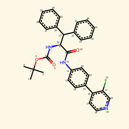 CC(C)(C)OC(=O)N[C@H](C(=O)Nc1ccc(-c2ccncc2F)cc1)C(c1ccccc1)c1ccccc1